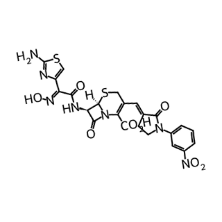 Nc1nc(C(=NO)C(=O)N[C@@H]2C(=O)N3C(C(=O)O)=C(C=C4CCN(c5cccc([N+](=O)[O-])c5)C4=O)CS[C@H]23)cs1